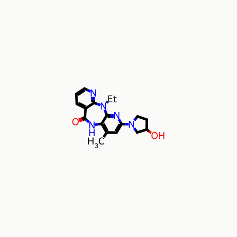 CCN1c2ncccc2C(=O)Nc2c(C)cc(N3CCC(O)C3)nc21